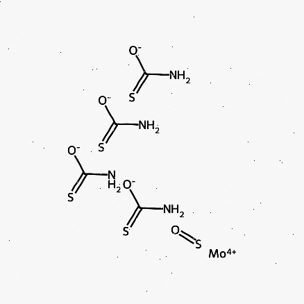 NC([O-])=S.NC([O-])=S.NC([O-])=S.NC([O-])=S.O=S.[Mo+4]